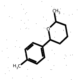 Cc1ccc(C2CCCC(C)O2)cc1